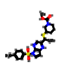 CNC(SC1CCCN(C(=O)OC(C)(C)C)C1)c1cnc2c(ccn2S(=O)(=O)c2ccc(C)cc2)n1